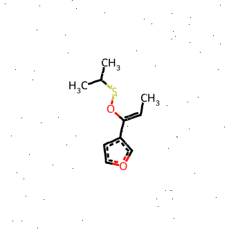 CC=C(OSC(C)C)c1ccoc1